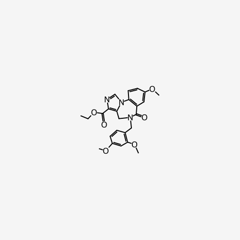 CCOC(=O)c1ncn2c1CN(Cc1ccc(OC)cc1OC)C(=O)c1cc(OC)ccc1-2